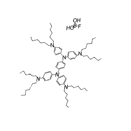 CCCCCCN(CCCCCC)c1ccc(N(c2ccc(N(CCCCCC)CCCCCC)cc2)c2ccc(N(c3ccc(N(CCCCCC)CCCCCC)cc3)c3ccc(N(CCCCCC)CCCCCC)cc3)cc2)cc1.OB(O)F